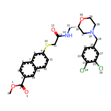 COC(=O)c1ccc2cc(SCC(=O)NC[C@H]3CN(Cc4ccc(Cl)c(Cl)c4)CCO3)ccc2c1